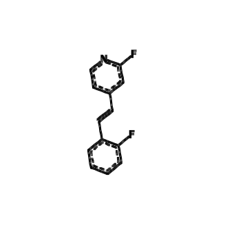 Fc1cc(C=Cc2ccccc2F)ccn1